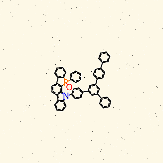 O=P1(c2ccccc2)c2ccccc2-c2ccc3c4ccccc4n(-c4ccc(-c5cc(-c6ccccc6)cc(-c6ccc(-c7ccccc7)cc6)c5)cc4)c3c21